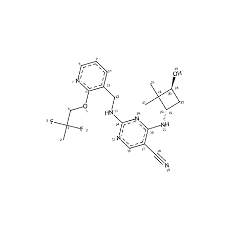 CC(F)(F)COc1ncccc1CNc1ncc(C#N)c(N[C@H]2C[C@H](O)C2(C)C)n1